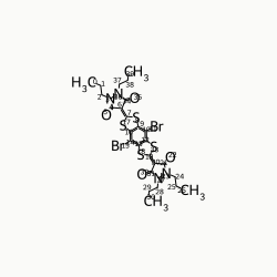 CCCN1C(=O)C(=C2Sc3c(Br)c4c(c(Br)c3S2)SC(=C2C(=O)N(CCC)N(CCC)C2=O)S4)C(=O)N1CCC